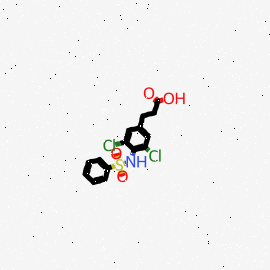 O=C(O)CCc1cc(Cl)c(NS(=O)(=O)c2ccccc2)c(Cl)c1